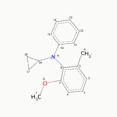 [CH2]c1cccc(OC)c1N(c1ccccc1)C1CC1